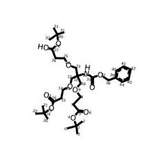 CC(C)(C)OC(=O)CCOCC(COCCC(=O)OC(C)(C)C)(COCCC(O)OC(C)(C)C)NC(=O)OCc1ccccc1